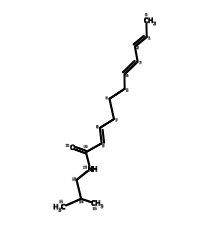 C/C=C/C=C/CCC/C=C/C(=O)NCC(C)C